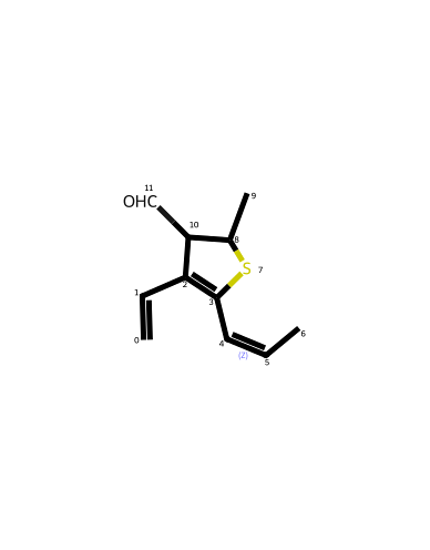 C=CC1=C(/C=C\C)SC(C)C1C=O